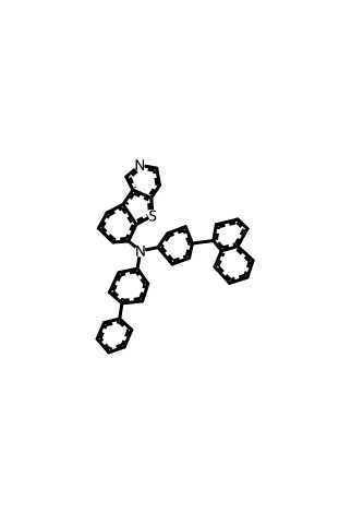 c1ccc(-c2ccc(N(c3ccc(-c4cccc5ccccc45)cc3)c3cccc4c3sc3ccncc34)cc2)cc1